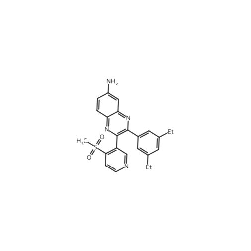 CCc1cc(CC)cc(-c2nc3cc(N)ccc3nc2-c2cnccc2S(C)(=O)=O)c1